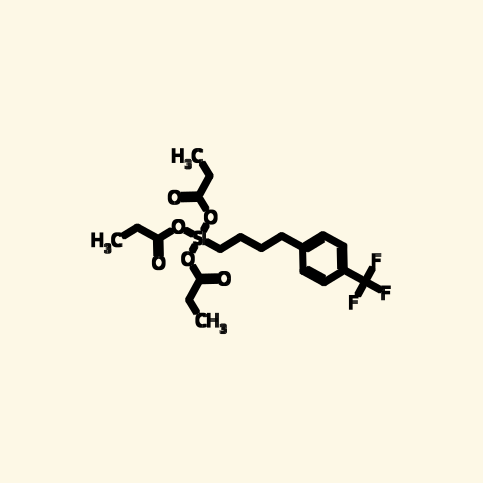 CCC(=O)O[Si](CCCCc1ccc(C(F)(F)F)cc1)(OC(=O)CC)OC(=O)CC